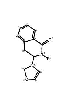 CCN1C(=O)c2ccccc2CC1N1C=COC1